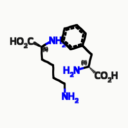 NCCCC[C@H](N)C(=O)O.N[C@H](Cc1ccccc1)C(=O)O